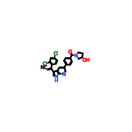 N#C/C=C(\c1ccc(Cl)cc1Cl)c1c[nH]c2ncc(-c3ccc(C(=O)N4CCC(O)C4)cc3)cc12